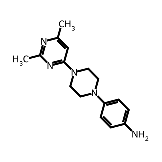 Cc1cc(N2CCN(c3ccc(N)cc3)CC2)nc(C)n1